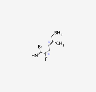 BC/C(C)=C/C=C(/F)C(=N)Br